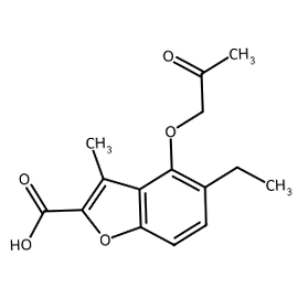 CCc1ccc2oc(C(=O)O)c(C)c2c1OCC(C)=O